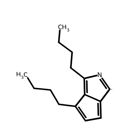 CCCCC1=CC=C2[C]=NC(CCCC)=C21